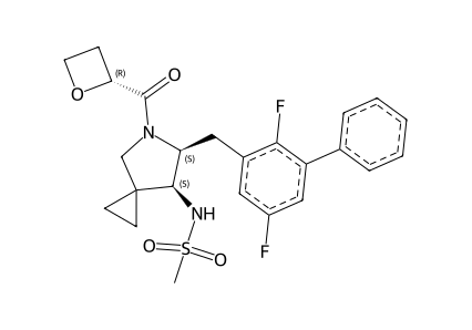 CS(=O)(=O)N[C@@H]1[C@H](Cc2cc(F)cc(-c3ccccc3)c2F)N(C(=O)[C@H]2CCO2)CC12CC2